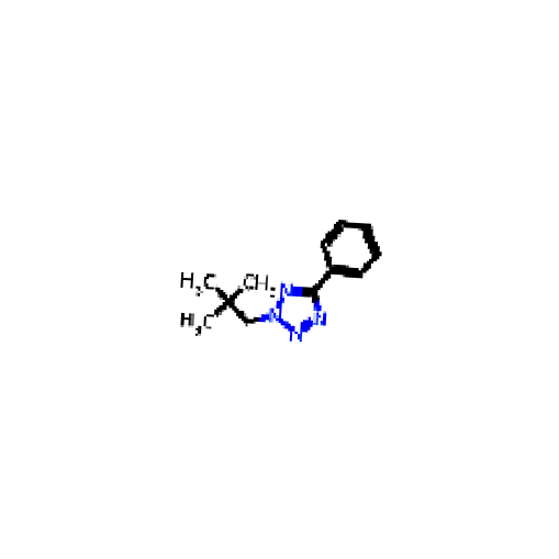 CC(C)(C)Cn1nnc(-c2ccccc2)n1